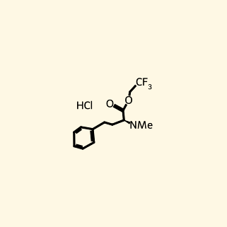 CN[C@@H](CCc1ccccc1)C(=O)OCC(F)(F)F.Cl